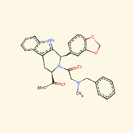 COC(=O)[C@H]1Cc2c([nH]c3ccccc23)[C@@H](c2ccc3c(c2)OCO3)N1C(=O)CN(C)Cc1ccccc1